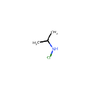 CC(C)NCl